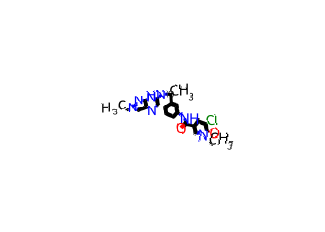 CCn1cc2ncc(N[C@@H](C)c3cccc(NC(=O)c4cnc(OC)c(Cl)c4)c3)nc2n1